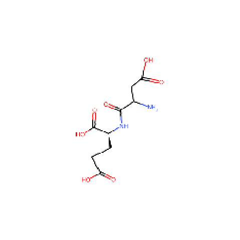 NC(CC(=O)O)C(=O)N[C@@H](CCC(=O)O)C(=O)O